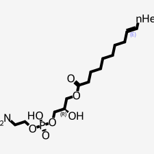 CCCCCC/C=C/CCCCCCCC(=O)OC[C@@H](O)COP(=O)(O)OCCN